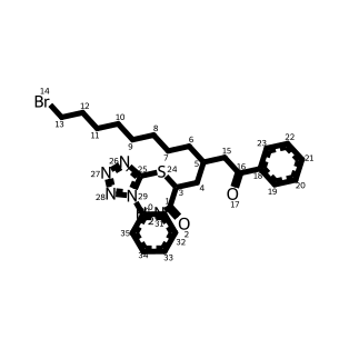 NC(=O)C(CC(CCCCCCCCBr)CC(=O)c1ccccc1)Sc1nnnn1-c1ccccc1